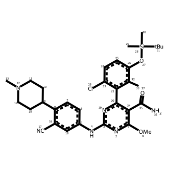 COc1nc(Nc2ccc(C3CCN(C)CC3)c(C#N)c2)nc(-c2c(Cl)ccc(O[Si](C)(C)C(C)(C)C)c2C)c1C(N)=O